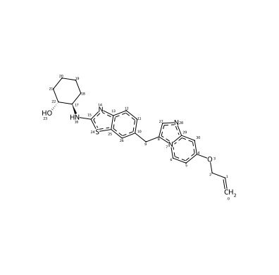 C=CCOc1ccn2c(Cc3ccc4nc(N[C@@H]5CCCC[C@H]5O)sc4c3)cnc2c1